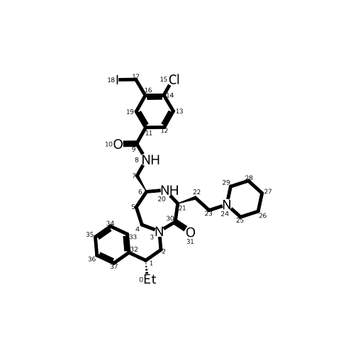 CC[C@@H](CN1CC[C@@H](CNC(=O)c2ccc(Cl)c(CI)c2)N[C@@H](CCN2CCCCC2)C1=O)c1ccccc1